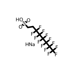 O=S(=O)(O)CCC(F)(F)C(F)(F)C(F)(F)C(F)(F)C(F)(F)C(F)(F)F.[NaH]